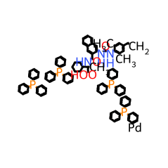 C=Cc1cc(C)c(NC(=O)Nc2cc3ccccc3cc2C(=O)NC(C)(C(=O)O)C2CCCCC2)c(C)c1.[Pd].c1ccc(P(c2ccccc2)c2ccccc2)cc1.c1ccc(P(c2ccccc2)c2ccccc2)cc1.c1ccc(P(c2ccccc2)c2ccccc2)cc1.c1ccc(P(c2ccccc2)c2ccccc2)cc1